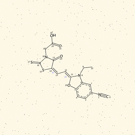 [C-]#[N+]c1ccc2c(c1)N(CC)/C(=C/C=C1/SC(=S)N(CC(=O)O)C1=O)O2